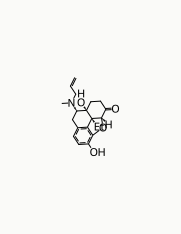 C=CCN(C)[C@@H]1Cc2ccc(O)c3c2[C@@]2(CC)[C@@H](O3)C(=O)CC[C@@]12O